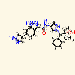 CC(C)(O)[C@@H](c1ccccc1)n1cc(NC(=O)c2n[nH]c3cc(-c4cn[nH]c4)ccc23)cn1